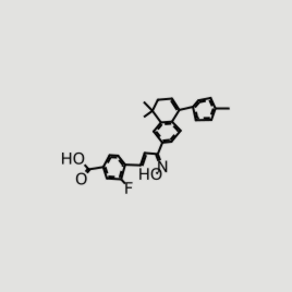 Cc1ccc(C2=CCC(C)(C)c3cc(C(C=Cc4ccc(C(=O)O)cc4F)=NO)ccc32)cc1